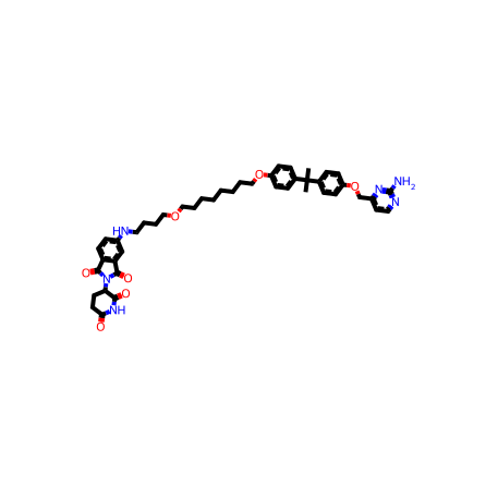 CC(C)(c1ccc(OCCCCCCCCOCCCCNc2ccc3c(c2)C(=O)N(C2CCC(=O)NC2=O)C3=O)cc1)c1ccc(OCc2ccnc(N)n2)cc1